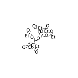 CCC1(COCC(COCC2(CC)COC2)(COCC2(CC)COC2)COCC(COCC2(CC)COC2)(COCC2(CC)COC2)COCC2(CC)COC2)COC1